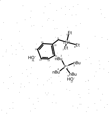 CCCC[P+](CCCC)(CCCC)CCCC.CC[N+](CC)(CC)Cc1ccccc1.[OH-].[OH-]